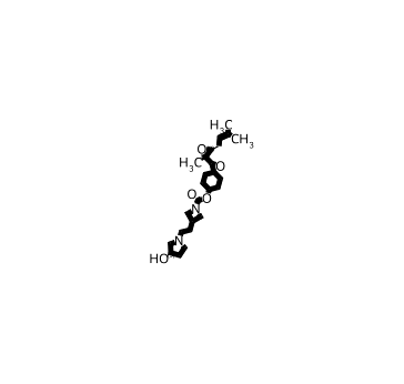 CC(C)=CC[C@H]1O[C@@]1(C)C1OC12CCC(OC(=O)N1CC(CCN3CC[C@H](O)C3)C1)CC2